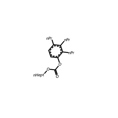 CCCCCCCOC(=O)Oc1ccc(CCC)c(CCC)c1CCC